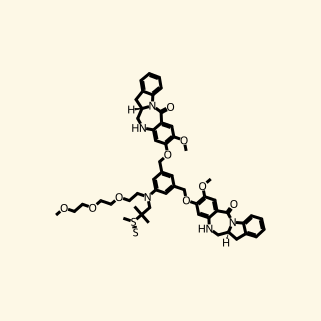 COCCOCCOCCN(CC(C)(C)S(C)=S)c1cc(COc2cc3c(cc2OC)C(=O)N2c4ccccc4C[C@H]2CN3)cc(COc2cc3c(cc2OC)C(=O)N2c4ccccc4C[C@H]2CN3)c1